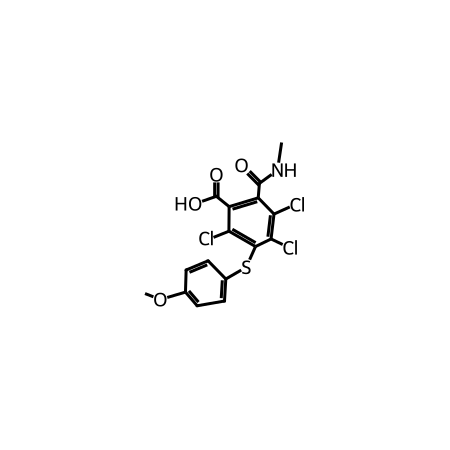 CNC(=O)c1c(Cl)c(Cl)c(Sc2ccc(OC)cc2)c(Cl)c1C(=O)O